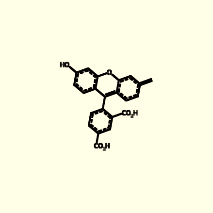 C=c1ccc2c(c1)Oc1cc(O)ccc1C=2c1ccc(C(=O)O)cc1C(=O)O